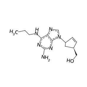 CCCNc1nc(N)nc2c1ncn2C1C=C[C@@H](CO)C1